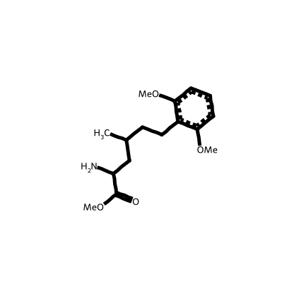 COC(=O)C(N)CC(C)CCc1c(OC)cccc1OC